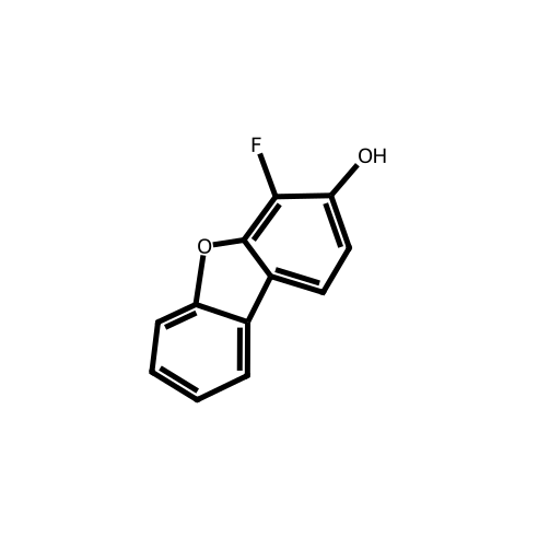 Oc1ccc2c(oc3ccccc32)c1F